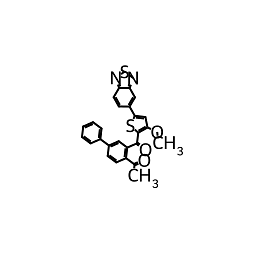 COc1cc(-c2ccc3nsnc3c2)sc1C(=O)c1cc(-c2ccccc2)ccc1C(C)=O